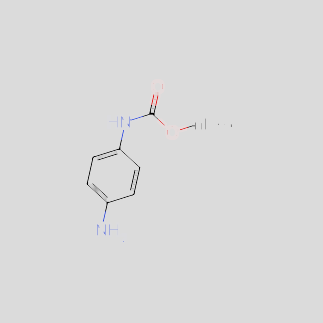 CCCCCCOC(=O)Nc1ccc(N)cc1